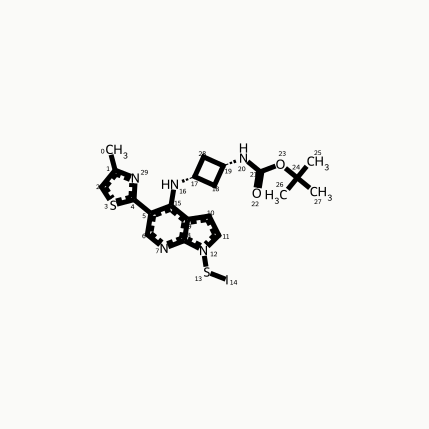 Cc1csc(-c2cnc3c(ccn3SI)c2N[C@H]2C[C@@H](NC(=O)OC(C)(C)C)C2)n1